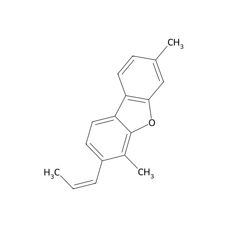 C/C=C\c1ccc2c(oc3cc(C)ccc32)c1C